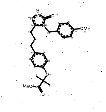 COC(=O)C(C)(C)Oc1ccc(CCCc2n[nH]c(=O)n2Cc2ccc(OC)cc2)cc1